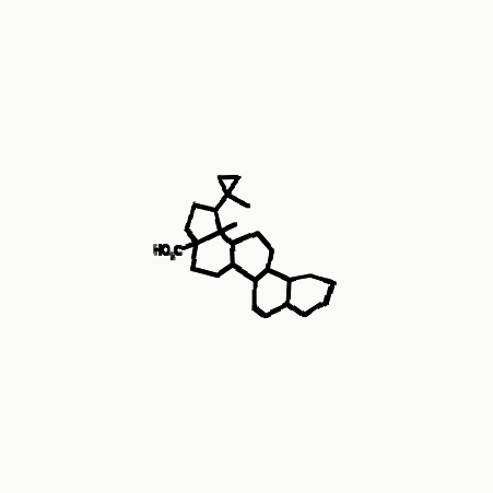 CC1(C2CCC3(C(=O)O)CCC4C5CCC6CCCCC6C5CCC4C23C)CC1